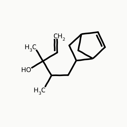 C=CC(C)(O)C(C)CC1CC2C=CC1C2